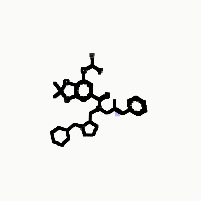 C/C(=C\c1ccccc1)CN(CC1CCCN1CC1CCCCC1)C(=O)c1cc(OC(F)F)c2c(c1)OC(C)(C)O2